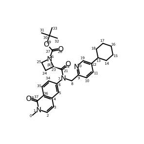 Cn1ccc2cc(N(Cc3ccc(C4CCCCC4)cn3)C(=O)[C@H]3CCN3C(=O)OC(C)(C)C)ccc2c1=O